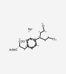 CC(=O)N[C@@H](Cc1ccc(N(CCCl)CCCl)cc1)C(=O)[O-].[Na+]